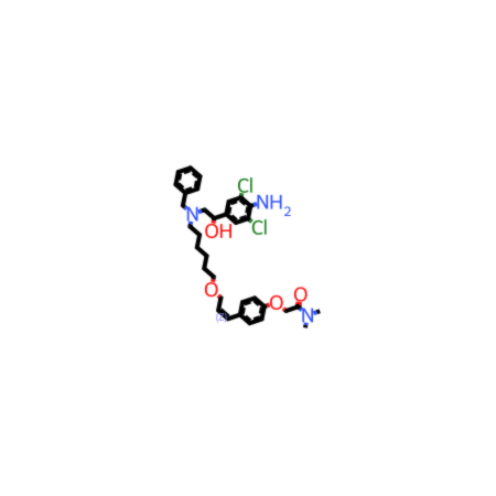 CN(C)C(=O)COc1ccc(/C=C\COCCCCCCN(Cc2ccccc2)CC(O)c2cc(Cl)c(N)c(Cl)c2)cc1